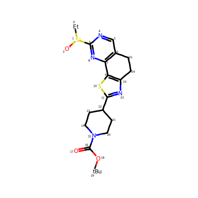 CC[S+]([O-])c1ncc2c(n1)-c1sc(C3CCN(C(=O)OC(C)(C)C)CC3)nc1CC2